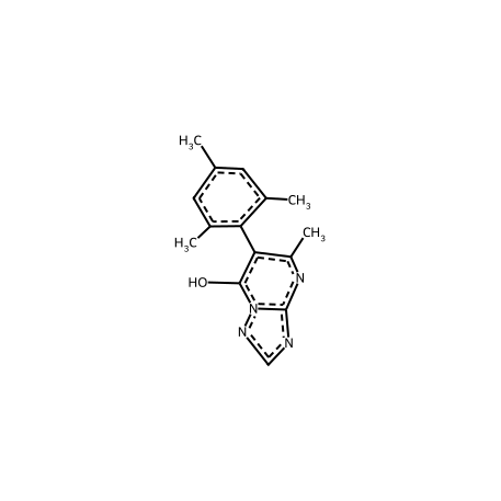 Cc1cc(C)c(-c2c(C)nc3ncnn3c2O)c(C)c1